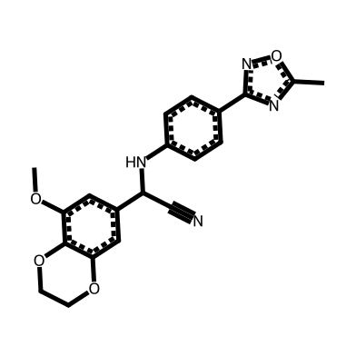 COc1cc(C(C#N)Nc2ccc(-c3noc(C)n3)cc2)cc2c1OCCO2